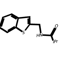 CC(C)C(=O)NCc1cc2ccccc2s1